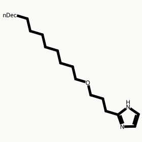 CCCCCCCCCCCCCCCCCCOCCCc1ncc[nH]1